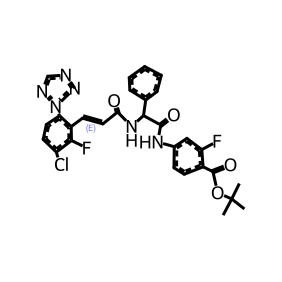 CC(C)(C)OC(=O)c1ccc(NC(=O)C(NC(=O)/C=C/c2c(-n3ncnn3)ccc(Cl)c2F)c2ccccc2)cc1F